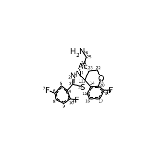 CC(=O)N1N=C(c2cc(F)ccc2F)S[C@]12c1cccc(F)c1OC[C@H]2CCN